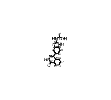 CC(O)Nc1nc2cc(-c3n[nH]c(=O)c4ccccc34)ccc2[nH]1